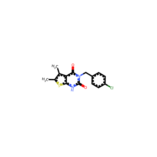 Cc1sc2[nH]c(=O)n(Cc3ccc(Cl)cc3)c(=O)c2c1C